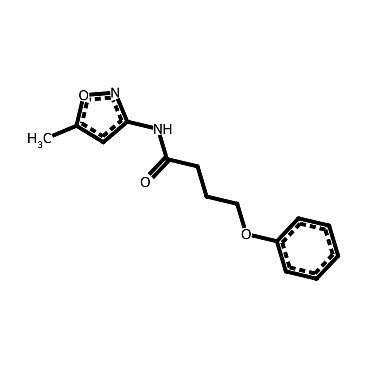 Cc1cc(NC(=O)CCCOc2ccccc2)no1